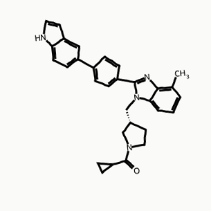 Cc1cccc2c1nc(-c1ccc(-c3ccc4[nH]ccc4c3)cc1)n2C[C@@H]1CCN(C(=O)C2CC2)C1